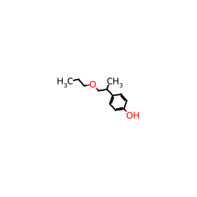 CCCOCC(C)c1ccc(O)cc1